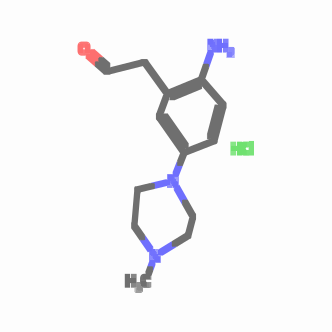 CN1CCN(c2ccc(N)c(CC=O)c2)CC1.Cl